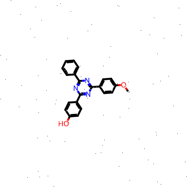 COc1ccc(-c2nc(-c3ccccc3)nc(-c3ccc(O)cc3)n2)cc1